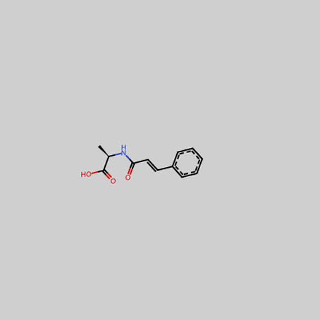 C[C@@H](NC(=O)/C=C/c1ccccc1)C(=O)O